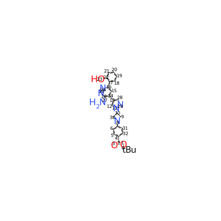 CC(C)(C)OC(=O)c1ccc(N2CC(n3cc(-c4cc(-c5ccccc5O)nnc4N)cn3)C2)cc1